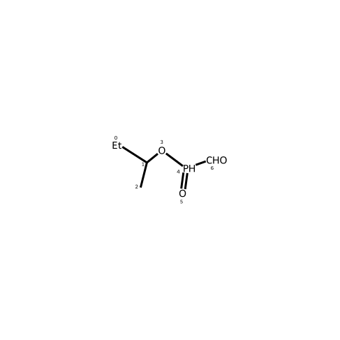 CCC(C)O[PH](=O)C=O